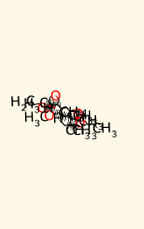 C=CCO[C@H]1[C@H](OC)C[C@@]23COC[C@@]1(C)[C@@H]2CC[C@H]1C3=CC[C@@]2(C)[C@H](C(=O)OCCCC)[C@@](C)([C@H](C)C(C)C)CC[C@]12C